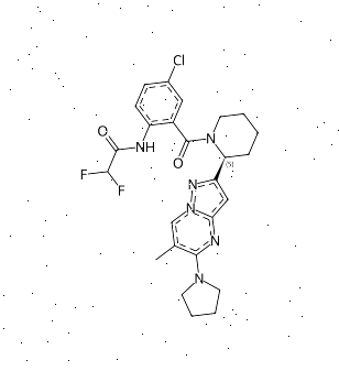 Cc1cn2nc([C@@H]3CCCCN3C(=O)c3cc(Cl)ccc3NC(=O)C(F)F)cc2nc1N1CCCC1